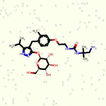 Cc1cc(OCCNC(=O)NC(C)(C)CN)ccc1Cc1c(O[C@@H]2O[C@H](CO)[C@@H](O)[C@H](O)[C@H]2O)n[nH]c1C(C)C